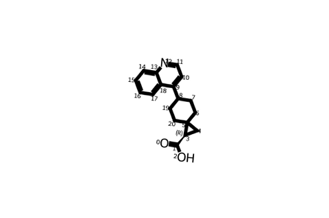 O=C(O)[C@@H]1CC12CCC(c1ccnc3ccccc13)CC2